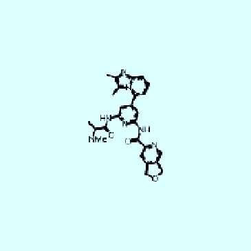 CNC(C)C(=O)Nc1cc(-c2cccc3nc(C)c(C)n23)cc(NC(=O)c2cc3c(cn2)COC3)n1